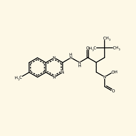 Cc1ccc2nc(NNC(=O)C(CN(O)C=O)CC(C)(C)C)nnc2c1